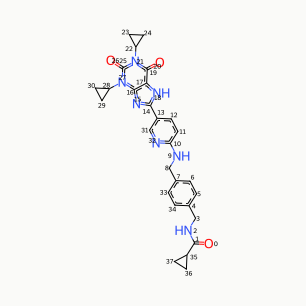 O=C(NCc1ccc(CNc2ccc(-c3nc4c([nH]3)c(=O)n(C3CC3)c(=O)n4C3CC3)cn2)cc1)C1CC1